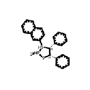 S=[PH]1S[C@@H](c2ccccc2)[C@@H](c2ccccc2)[SH]1c1ccc2ccccc2c1